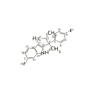 CC(C)C(C)(c1ccc(I)cc1)c1cc2ccc(F)cc2[nH]1